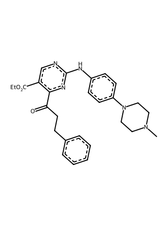 CCOC(=O)c1cnc(Nc2ccc(N3CCN(C)CC3)cc2)nc1C(=O)CCc1ccccc1